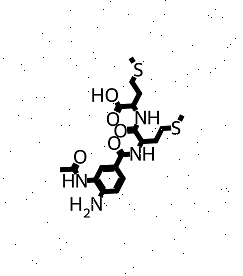 CSCCC(NC(=O)C(CCSC)NC(=O)c1ccc(N)c(NC(C)=O)c1)C(=O)O